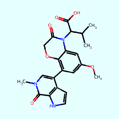 COc1cc(-c2cn(C)c(=O)c3[nH]ccc23)c2c(c1)N(C(C(=O)O)C(C)C)C(=O)CO2